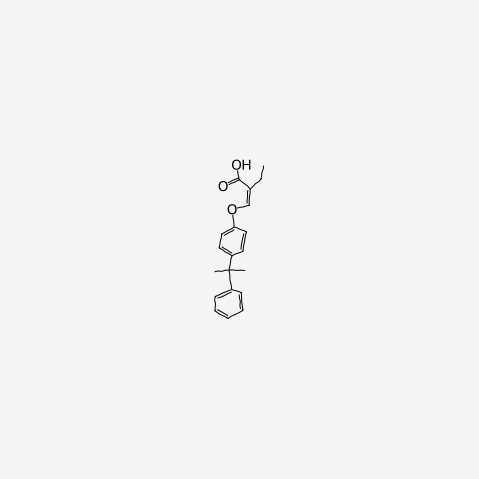 CCC(=COc1ccc(C(C)(C)c2ccccc2)cc1)C(=O)O